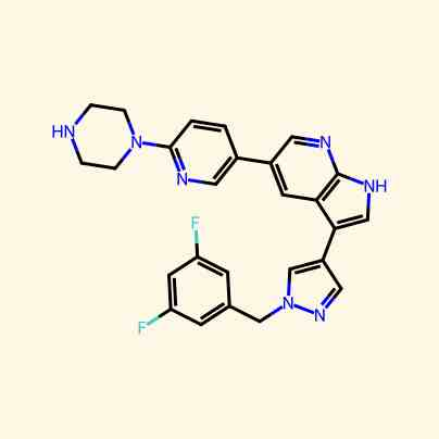 Fc1cc(F)cc(Cn2cc(-c3c[nH]c4ncc(-c5ccc(N6CCNCC6)nc5)cc34)cn2)c1